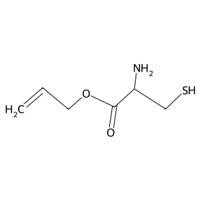 C=CCOC(=O)C(N)CS